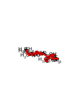 Cc1ncsc1-c1ccc(CNC(=O)C2CCCN2C(=O)C(NC(=O)C2(F)CC2)C(C)(C)C)c(OCCCC(=O)N2CCC(C(=O)Nc3cccc(Sc4cnc(N5CCC(C)(CNC(=O)OC(C)(C)C)CC5)cn4)c3Cl)CC2)c1